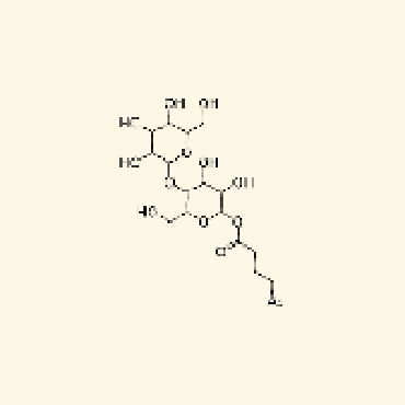 CC(=O)CCCC(=O)OC1OC(CO)C(OC2OC(CO)C(O)C(O)C2O)C(O)C1O